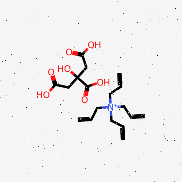 C=CC[N+](CC=C)(CC=C)CC=C.O=C(O)CC(O)(CC(=O)O)C(=O)O